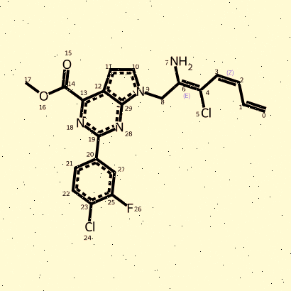 C=C/C=C\C(Cl)=C(/N)Cn1ccc2c(C(=O)OC)nc(-c3ccc(Cl)c(F)c3)nc21